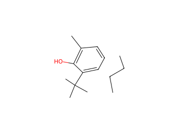 CCCC.Cc1cccc(C(C)(C)C)c1O